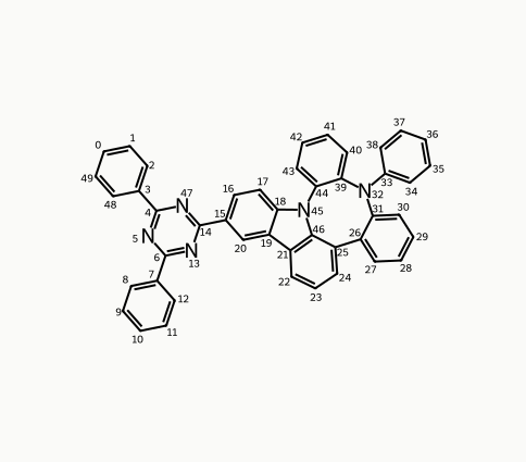 c1ccc(-c2nc(-c3ccccc3)nc(-c3ccc4c(c3)c3cccc5c6ccccc6n(-c6ccccc6)c6ccccc6n4c53)n2)cc1